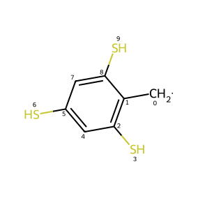 [CH2]c1c(S)cc(S)cc1S